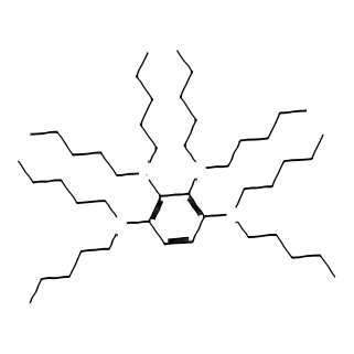 CCCCC[SiH](CCCCC)c1ccc([SiH](CCCCC)CCCCC)c([SiH](CCCCC)CCCCC)c1[SiH](CCCCC)CCCCC